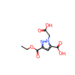 CCOC(=O)c1cc(C(=O)O)n(CC(=O)O)n1